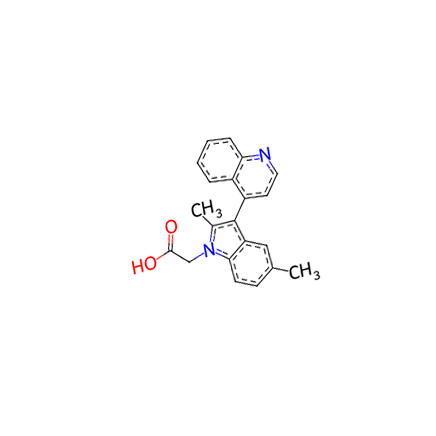 Cc1ccc2c(c1)c(-c1ccnc3ccccc13)c(C)n2CC(=O)O